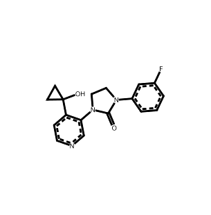 O=C1N(c2cccc(F)c2)CCN1c1cnccc1C1(O)CC1